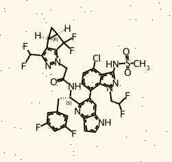 CS(=O)(=O)Nc1nn(CC(F)F)c2c(-c3cc4[nH]ccc4nc3[C@H](Cc3cc(F)cc(F)c3)NC(=O)Cn3nc(C(F)F)c4c3C(F)(F)[C@@H]3C[C@H]43)ccc(Cl)c12